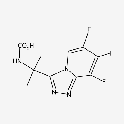 CC(C)(NC(=O)O)c1nnc2c(F)c(I)c(F)cn12